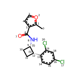 Cc1occc1C(=O)N[C@H]1CC[C@H]1c1ccc(Cl)cc1Cl